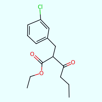 CCCC(=O)C(Cc1cccc(Cl)c1)C(=O)OCC